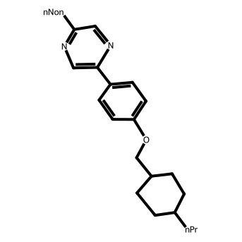 CCCCCCCCCc1cnc(-c2ccc(OCC3CCC(CCC)CC3)cc2)cn1